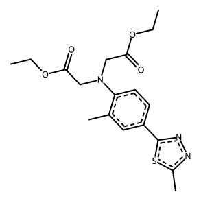 CCOC(=O)CN(CC(=O)OCC)c1ccc(-c2nnc(C)s2)cc1C